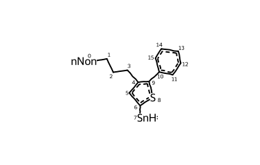 CCCCCCCCCCCCc1c[c]([SnH])sc1-c1ccccc1